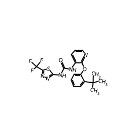 CC(C)(C)c1ccccc1Oc1ncccc1NC(=O)Nc1nnc(C(F)(F)F)s1